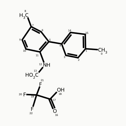 Cc1ccc(-c2cc(C)ccc2NC(=O)O)cc1.O=C(O)C(F)(F)F